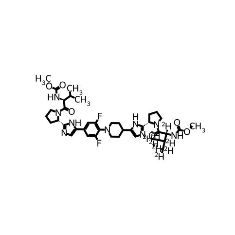 [2H]C([2H])([2H])C([2H])(C([2H])([2H])[2H])[C@@]([2H])(NC(=O)OC)C(=O)N1CCC[C@H]1c1ncc(C2CCN(c3c(F)cc(-c4cnc([C@@H]5CCCN5C(=O)[C@@H](NC(=O)OC)C(C)C)[nH]4)cc3F)CC2)[nH]1